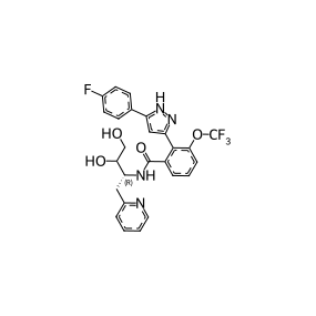 O=C(N[C@H](Cc1ccccn1)C(O)CO)c1cccc(OC(F)(F)F)c1-c1cc(-c2ccc(F)cc2)[nH]n1